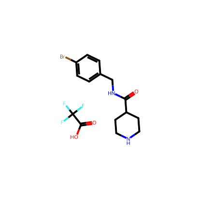 O=C(NCc1ccc(Br)cc1)C1CCNCC1.O=C(O)C(F)(F)F